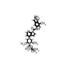 Cc1c(F)c(NC(=O)N2CCc3c(N4C[C@@H](C)N(C(=O)OC(C)(C)C)[C@@H](C)C4)ccnc32)cc2cn(C)nc12